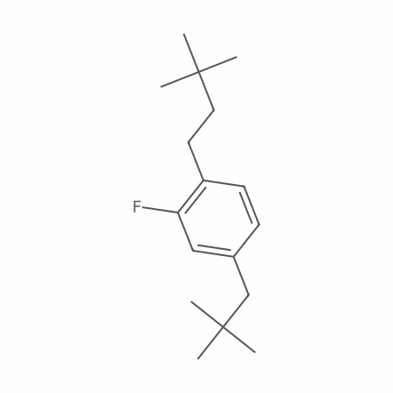 CC(C)(C)CCc1ccc(CC(C)(C)C)cc1F